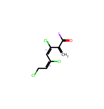 C=C(C(=O)I)/C(Cl)=C\C(Cl)=C/CCl